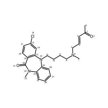 CC(=O)/C=C/CN(C)CCCCN1c2cc(Cl)ccc2C(=O)N(C)c2ccccc21